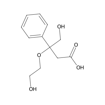 O=C(O)CC(CO)(OCCO)c1ccccc1